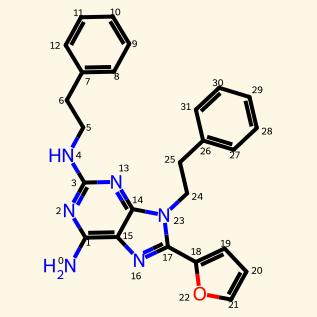 Nc1nc(NCCc2ccccc2)nc2c1nc(-c1ccco1)n2CCc1ccccc1